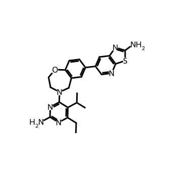 CCc1nc(N)nc(N2CCOc3ccc(-c4cnc5sc(N)nc5c4)cc3C2)c1C(C)C